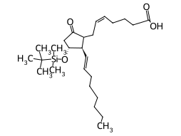 CCCCCC/C=C/[C@@H]1C(C/C=C\CCCC(=O)O)C(=O)C[C@H]1O[Si](C)(C)C(C)(C)C